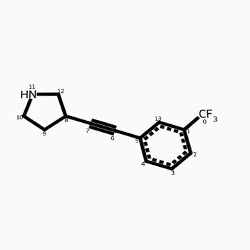 FC(F)(F)c1cccc(C#CC2CCNC2)c1